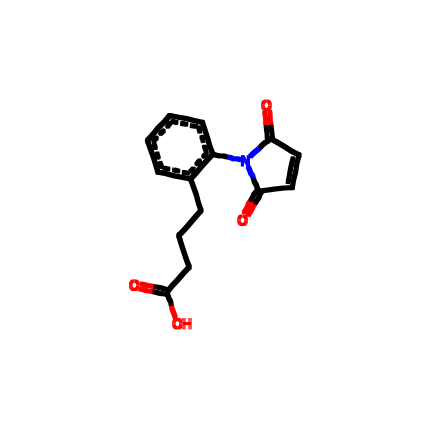 O=C(O)CCCc1ccccc1N1C(=O)C=CC1=O